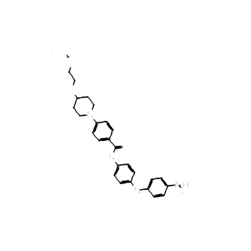 CNc1ccc(Nc2ccc(NC(=O)c3ccc(N4CCC(OCCOC)CC4)cc3)cc2)cc1